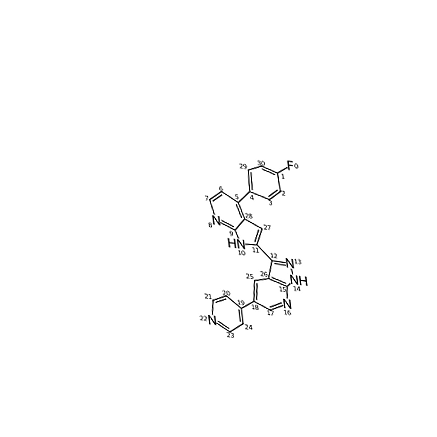 Fc1ccc(-c2ccnc3[nH]c(-c4n[nH]c5ncc(-c6ccncc6)cc45)cc23)cc1